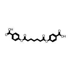 O=C(CCCCCC(=O)Oc1ccc(C(=O)O)cc1)Oc1ccc(C(=O)O)cc1